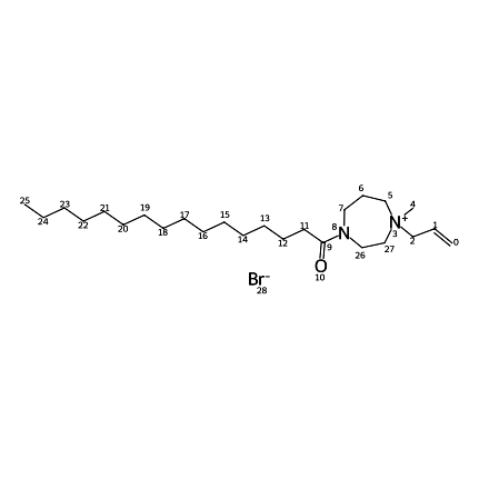 C=CC[N+]1(C)CCCN(C(=O)CCCCCCCCCCCCCCC)CC1.[Br-]